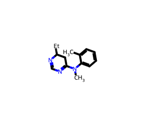 CCC1CC(N(C)c2ccccc2C)=NC=N1